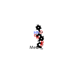 COC1CCC(Oc2ccc3cc(NC(=O)c4ccccc4)c(=O)oc3c2C)OC1(C)C